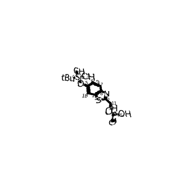 CC(C)(C)[Si](C)(C)Oc1ccc2nc(CO[PH](=O)O)sc2c1